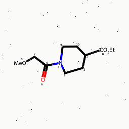 CCOC(=O)C1CCN(C(=O)COC)CC1